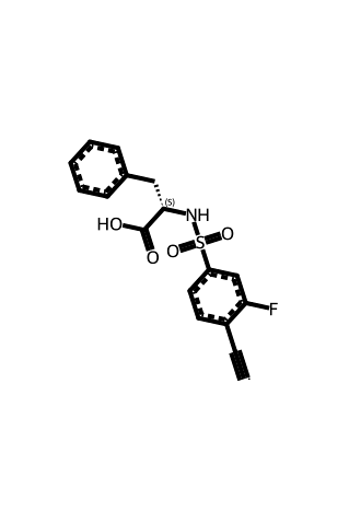 [C]#Cc1ccc(S(=O)(=O)N[C@@H](Cc2ccccc2)C(=O)O)cc1F